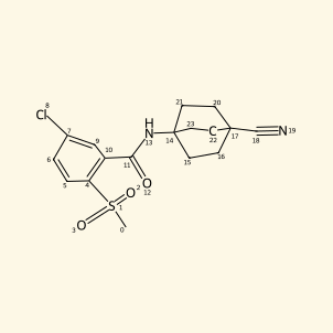 CS(=O)(=O)c1ccc(Cl)cc1C(=O)NC12CCC(C#N)(CC1)CC2